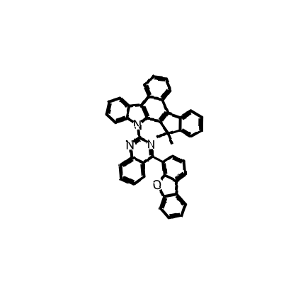 CC1(C)c2ccccc2-c2c1c1c(c3ccccc23)c2ccccc2n1-c1nc(-c2cccc3c2oc2ccccc23)c2ccccc2n1